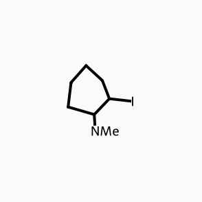 CNC1CCCCC1I